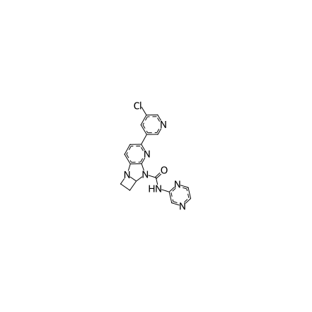 O=C(Nc1cnccn1)N1c2nc(-c3cncc(Cl)c3)ccc2N2CCC21